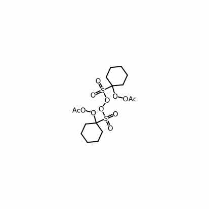 CC(=O)OOC1(S(=O)(=O)OOS(=O)(=O)C2(OOC(C)=O)CCCCC2)CCCCC1